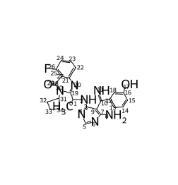 CC(Nc1ncnc(N)c1C(=N)c1cccc(O)c1)c1nc2cccc(F)c2c(=O)n1C1CCC1